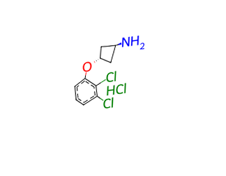 Cl.N[C@H]1C[C@H](Oc2cccc(Cl)c2Cl)C1